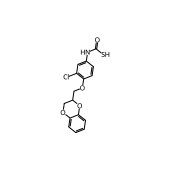 O=C(S)Nc1ccc(OCC2COc3ccccc3O2)c(Cl)c1